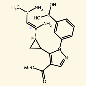 COC(=O)c1cnn(-c2cccc(B(O)O)c2)c1C1C[C@@H]1/C(N)=C/N(C)N